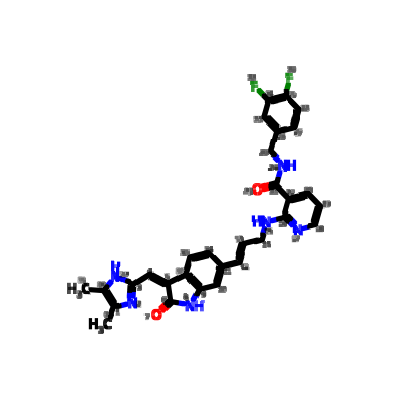 Cc1nc(/C=C2\C(=O)Nc3cc(/C=C/CNc4ncccc4C(=O)NCc4ccc(F)c(F)c4)ccc32)[nH]c1C